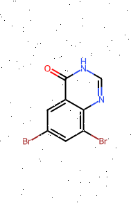 O=c1[nH]cnc2c(Br)cc(Br)cc12